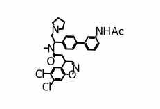 CC(=O)Nc1cccc(-c2ccc(C(CN3CCCC3)N(C)C(=O)CC3C=NOc4cc(Cl)c(Cl)cc43)cc2)c1